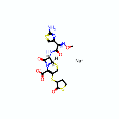 CO/N=C(\C(=O)N[C@@H]1C(=O)N2C(C(=O)[O-])=C(SC3CCSC3=O)CS[C@H]12)c1csc(N)n1.[Na+]